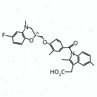 Cc1ccc2c(c1)c(CC(=O)O)c(C)n2C(=O)c1ccc(OC[C@@H]2CN(C)c3cc(F)ccc3O2)c(C)c1